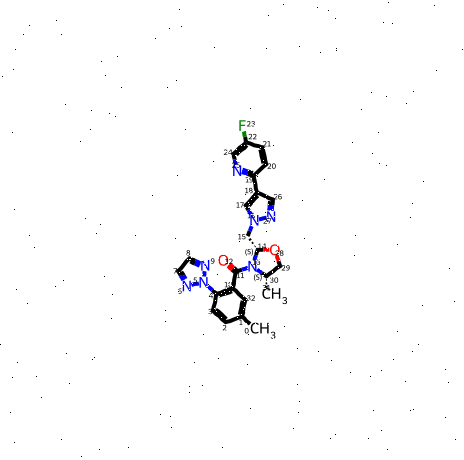 Cc1ccc(-n2nccn2)c(C(=O)N2[C@H](Cn3cc(-c4ccc(F)cn4)cn3)OC[C@@H]2C)c1